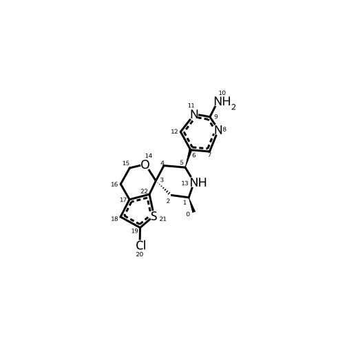 C[C@H]1C[C@@]2(C[C@@H](c3cnc(N)nc3)N1)OCCc1cc(Cl)sc12